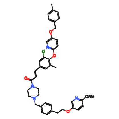 COc1ccc(OCCc2ccc(CN3CCN(C(=O)C=Cc4cc(C)c(Oc5ccc(OCc6ccc(C)cc6)cn5)c(Cl)c4)CC3)cc2)cn1